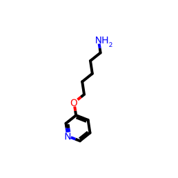 NCCCCCOc1cccnc1